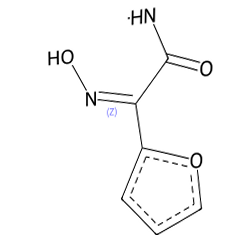 [NH]C(=O)/C(=N\O)c1ccco1